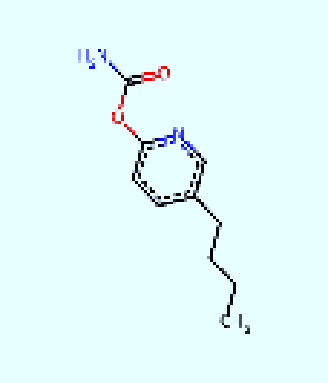 CCCCc1ccc(OC(N)=O)nc1